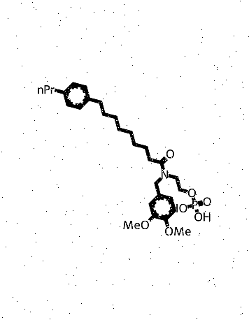 CCCc1ccc(CCCCCCCCC(=O)N(CCOP(=O)(O)O)Cc2ccc(OC)c(OC)c2)cc1